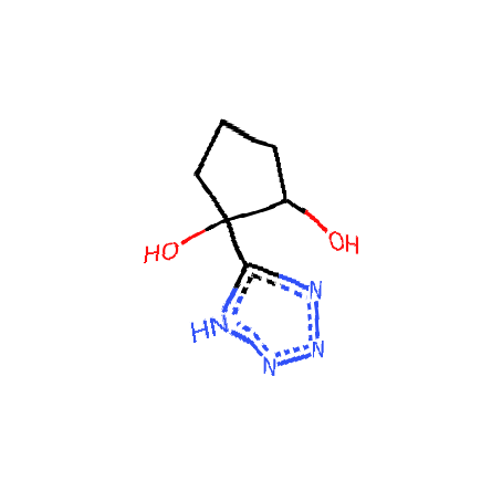 OC1CCCC1(O)c1nnn[nH]1